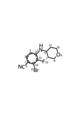 N#Cc1ccc(NC2CCOCC2)c(F)c1Br